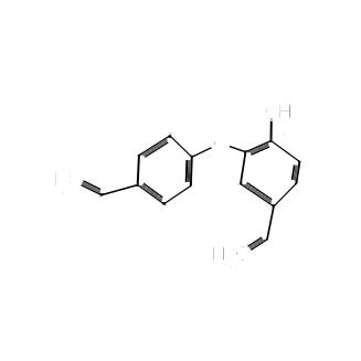 C=Cc1ccc(Oc2cc(C=C)ccc2C)cc1